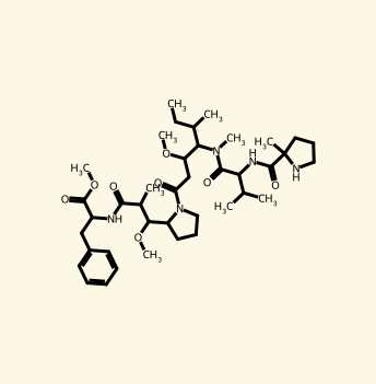 CCC(C)C(C(CC(=O)N1CCCC1C(OC)C(C)C(=O)NC(Cc1ccccc1)C(=O)OC)OC)N(C)C(=O)C(NC(=O)C1(C)CCCN1)C(C)C